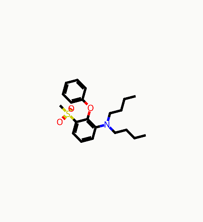 CCCCN(CCCC)c1cccc(S(C)(=O)=O)c1Oc1ccccc1